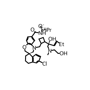 CC/C=C/[C@](O)(CN(C)CCO)C1CCC1CN1C[C@@]2(CCCc3cc(Cl)ccc32)COc2ccc(C(=O)N[S+]([O-])C(C)C)cc21